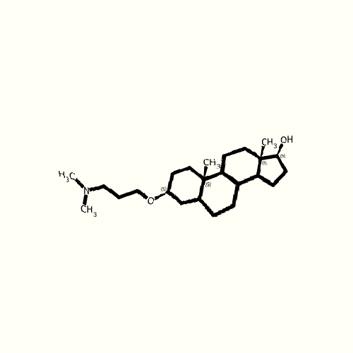 CN(C)CCCO[C@H]1CC[C@@]2(C)C(CCC3C2CC[C@@]2(C)C3CC[C@@H]2O)C1